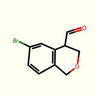 O=CC1COCc2ccc(Br)cc21